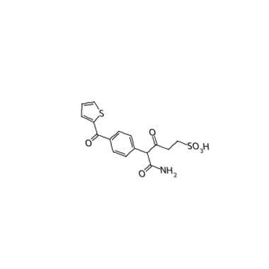 NC(=O)C(C(=O)CCS(=O)(=O)O)c1ccc(C(=O)c2cccs2)cc1